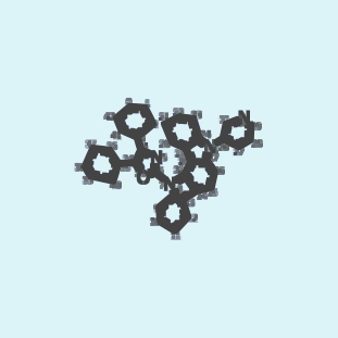 c1ccc(-c2nc(-n3c4ccccc4c4ccc5c(c6ccccc6n5-c5cccnc5)c43)oc2-c2ccccc2)cc1